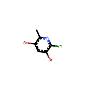 Cc1nc(Cl)c(Br)cc1Br